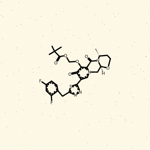 C[C@@H]1CCO[C@H]2Cn3cc(-c4nnc(Cc5ccc(F)cc5F)s4)c(=O)c(OCOC(=O)C(C)(C)C)c3C(=O)N12